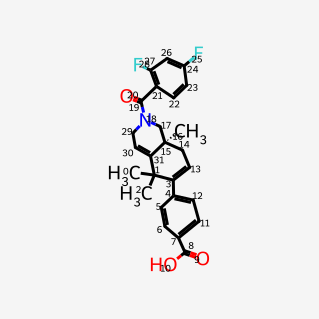 CC1(C)C(c2ccc(C(=O)O)cc2)=CC[C@]2(C)CN(C(=O)c3ccc(F)cc3F)CC=C12